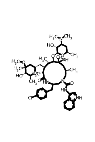 CO[C@]1(C)C[C@H](C[C@H]2[C@H](C)[C@@H](O[C@@H]3O[C@H](C)C[C@H](N(C)C)[C@H]3O)[C@](C)(O)C[C@@H](C)CN(C(=O)Nc3c[nH]c4ccccc34)CC(Cc3ccc(Cl)cc3)NC(=O)[C@@H]2C)O[C@@H](C)[C@@H]1O